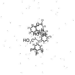 Cc1ccc(C(CC(=O)O)c2cc(F)c(F)c(F)c2)cc1CN1CC(C)Oc2ccccc2S1(O)O